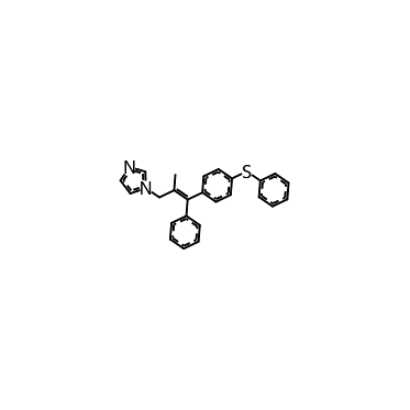 CC(Cn1ccnc1)=C(c1ccccc1)c1ccc(Sc2ccccc2)cc1